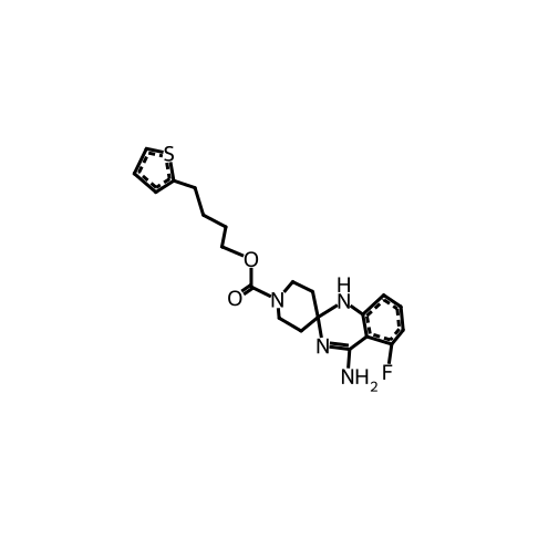 NC1=NC2(CCN(C(=O)OCCCCc3cccs3)CC2)Nc2cccc(F)c21